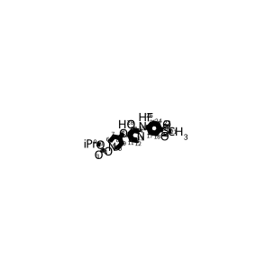 CC(C)OC(=O)ON1CCC(Oc2ccnc(Nc3ccc(S(C)(=O)=O)cc3F)c2O)CC1